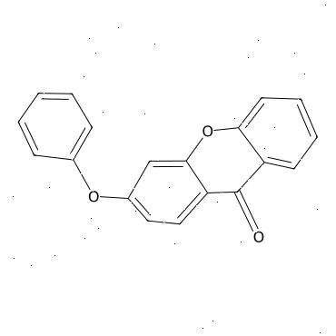 O=c1c2ccccc2oc2cc(Oc3ccccc3)ccc12